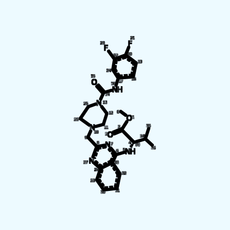 COC(=O)[C@@H](Nc1nc(CN2CCN(C(=O)Nc3ccc(F)c(F)c3)CC2)nc2ccccc12)C(C)C